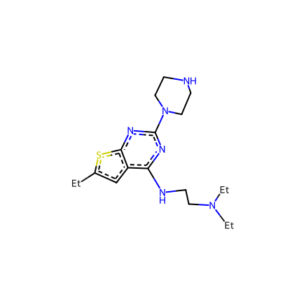 CCc1cc2c(NCCN(CC)CC)nc(N3CCNCC3)nc2s1